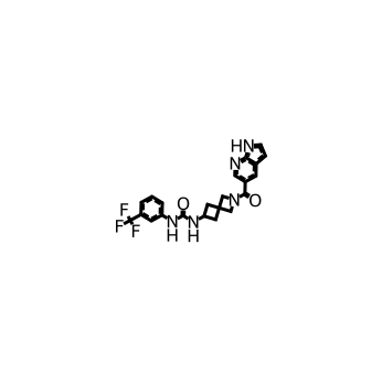 O=C(Nc1cccc(C(F)(F)F)c1)NC1CC2(C1)CN(C(=O)c1cnc3[nH]ccc3c1)C2